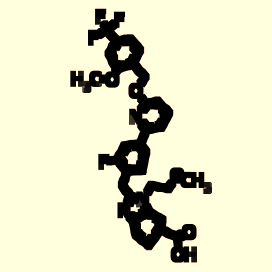 COCCn1c(Cc2ccc(-c3cccc(OCc4ccc(C(F)(F)F)cc4OC)n3)cc2F)nc2ccc(C(=O)O)cc21